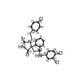 O=C(CC1(c2ccccc2)C(=O)NC(=S)N1CCc1ccc(Cl)cc1)Nc1ccc(Cl)c(Cl)c1